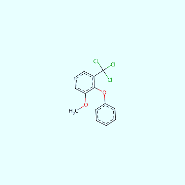 COc1cc[c]c(C(Cl)(Cl)Cl)c1Oc1ccccc1